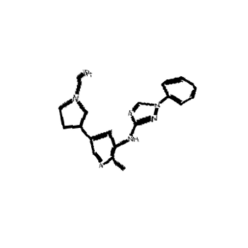 Cc1ncc(C2CCN(CC(C)C)C2)cc1Nc1ncn(-c2ccccc2)n1